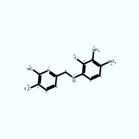 N#Cc1nc(CNc2ccc([N+](=O)[O-])c(N)c2F)ccc1C(F)(F)F